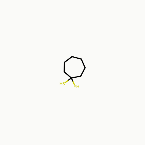 SC1(S)CCCCCC1